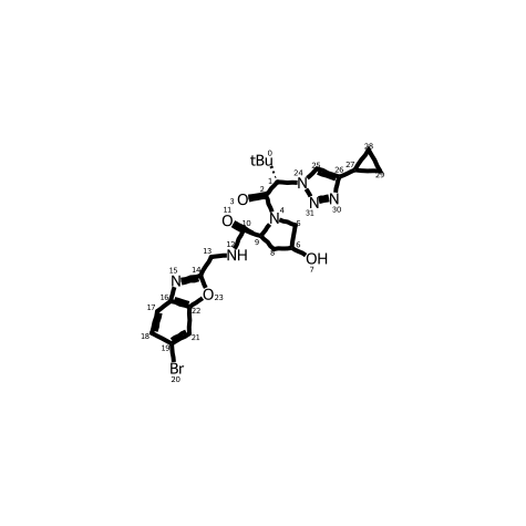 CC(C)(C)[C@@H](C(=O)N1CC(O)CC1C(=O)NCc1nc2ccc(Br)cc2o1)n1cc(C2CC2)nn1